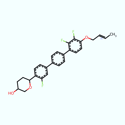 C/C=C/COc1ccc(-c2ccc(-c3ccc(C4CCC(O)CO4)c(F)c3)cc2)c(F)c1F